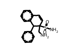 NCC1(S(N)(=O)=O)C=Cc2ccccc2C1c1ccccc1